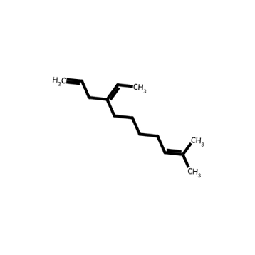 C=CCC(=CC)CCCCC=C(C)C